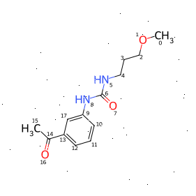 COCCCNC(=O)Nc1cccc(C(C)=O)c1